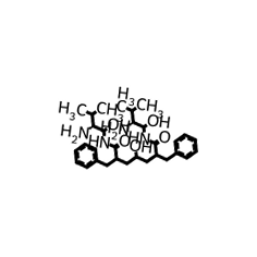 CC(C)[C@H](N)C(O)NC(=O)C(Cc1ccccc1)CC(O)CC(Cc1ccccc1)C(=O)NC(O)[C@@H](N)C(C)C